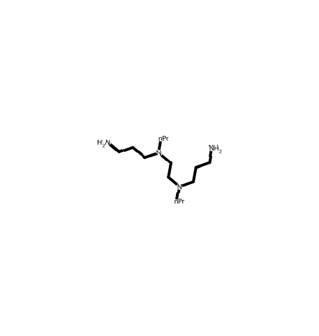 CCCN(CCCN)CCN(CCC)CCCN